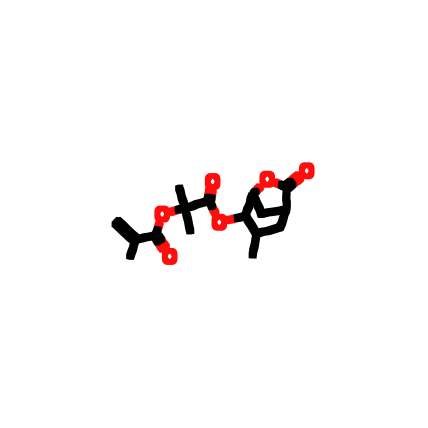 C=C(C)C(=O)OC(C)(C)C(=O)OC1C(C)CC2CC1OC2=O